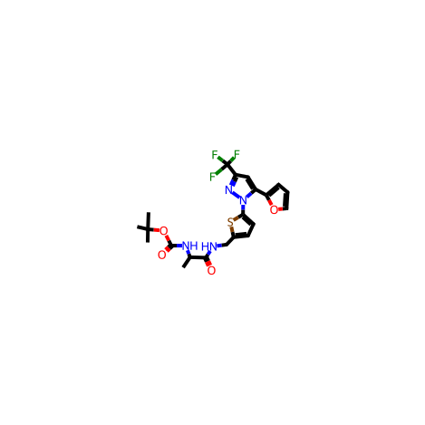 CC(NC(=O)OC(C)(C)C)C(=O)NCc1ccc(-n2nc(C(F)(F)F)cc2-c2ccco2)s1